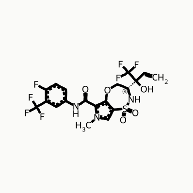 C=CC(O)([C@H]1COc2c(cn(C)c2C(=O)Nc2ccc(F)c(C(F)(F)F)c2)S(=O)(=O)N1)C(F)(F)F